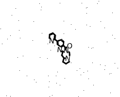 O=c1c2ccc(-c3ccccn3)cc2nc2n1CCN1CCCC1C2